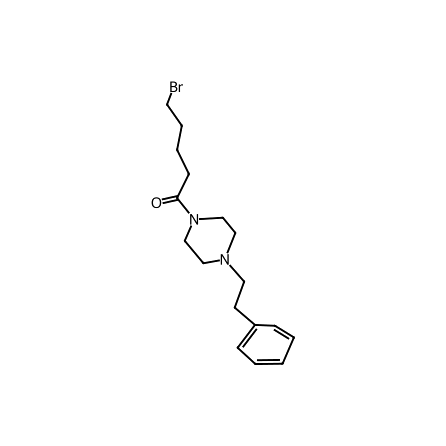 O=C(CCCCBr)N1CCN(CCc2ccccc2)CC1